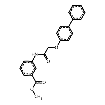 COC(=O)c1cccc(NC(=O)COc2ccc(-c3ccccc3)cc2)c1